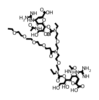 CCOCCOCCOCCOCCC(=O)N(CCOCCN(CC)C(=O)O[C@@H]([C@@H]1OC(C(=O)O)=C[C@H](NC(=N)N)[C@H]1NC(C)=O)[C@H](O)CO)CCOCCN(CC)C(=O)O[C@@H]([C@@H]1OC(C(=O)O)=C[C@H](NC(=N)N)[C@H]1NC(C)=O)[C@H](O)CO